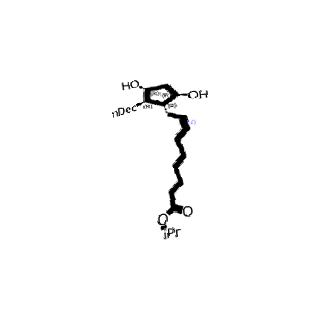 CCCCCCCCCC[C@@H]1[C@@H](C/C=C\CCCCCC(=O)OC(C)C)[C@H](O)C[C@H]1O